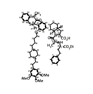 CCOC(=O)[C@H](CCc1ccccc1)N[C@@H](C)C(=O)N1[C@H](C(=O)O)C[C@H]2CCCC[C@@H]21.COc1cc(CCN2CCN(CCCCOc3ccccc3[C@@]3(C(C)C)Sc4ccccc4N(C)C3=O)CC2)cc(OC)c1OC